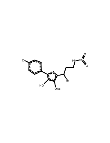 CC(=O)Oc1c(C(Br)CCN[SH](=O)=O)oc(-c2ccc(Cl)cc2)c1O